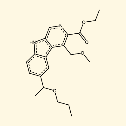 CCCOC(C)c1ccc2[nH]c3cnc(C(=O)OCC)c(COC)c3c2c1